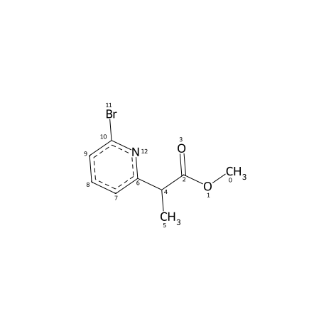 COC(=O)C(C)c1cccc(Br)n1